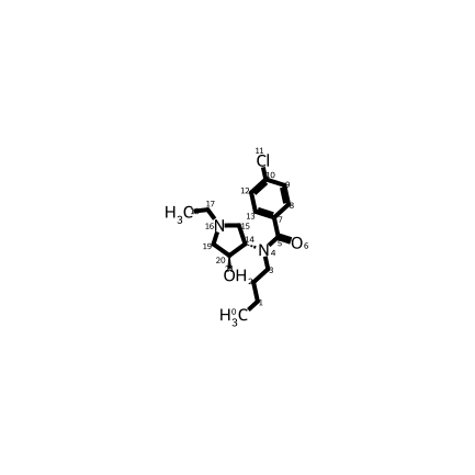 CCCCN(C(=O)c1ccc(Cl)cc1)[C@H]1CN(CC)C[C@@H]1O